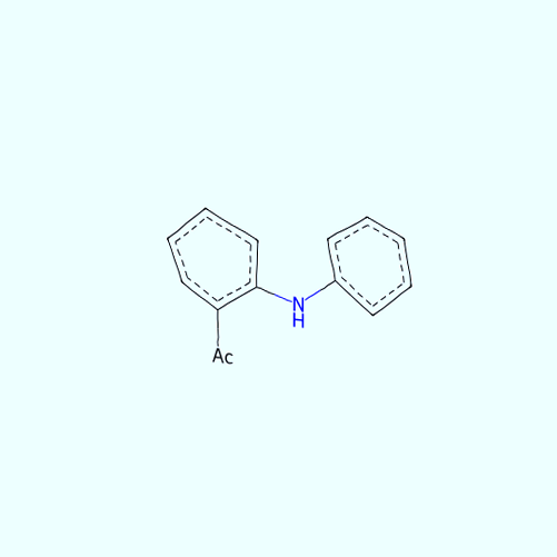 CC(=O)c1ccccc1Nc1ccccc1